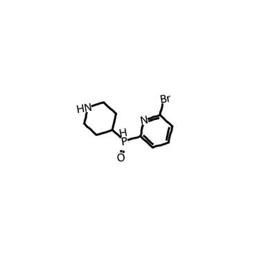 O=[PH](c1cccc(Br)n1)C1CCNCC1